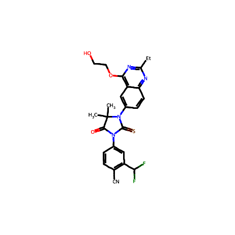 CCc1nc(OCCO)c2cc(N3C(=S)N(c4ccc(C#N)c(C(F)F)c4)C(=O)C3(C)C)ccc2n1